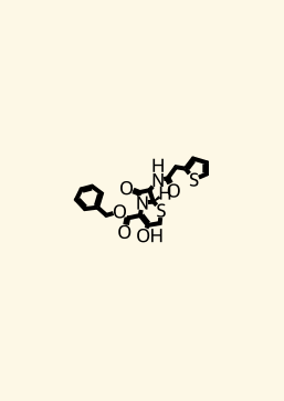 O=C(Cc1cccs1)NC1C(=O)N2C(C(=O)OCc3ccccc3)=C(O)CS[C@@H]12